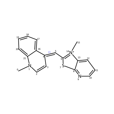 CN1C=C/C(=C\c2sc3ncccc3[n+]2C)c2ccccc21